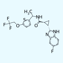 CC(NC(=O)[C@H]1C[C@@H]1c1nc2cc(F)ccc2[nH]1)c1ccc(OCC(F)(F)F)s1